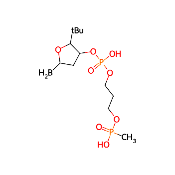 BC1CC(OP(=O)(O)OCCCOP(C)(=O)O)C(C(C)(C)C)O1